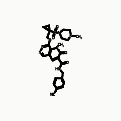 CN1CCN(S(=O)(=O)C2(COc3nncc4cc(C(=O)NCc5ccc(C#N)cc5)c(=O)n(C)c34)CC2)CC1